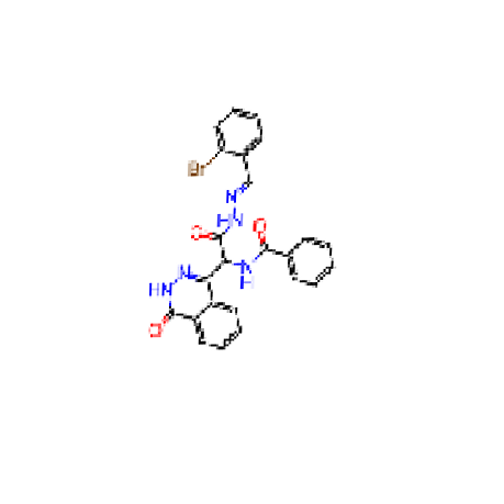 O=C(NC(C(=O)NN=Cc1ccccc1Br)c1n[nH]c(=O)c2ccccc12)c1ccccc1